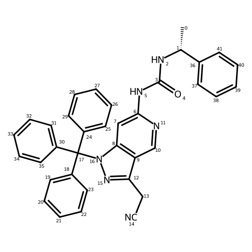 C[C@@H](NC(=O)Nc1cc2c(cn1)c(CC#N)nn2C(c1ccccc1)(c1ccccc1)c1ccccc1)c1ccccc1